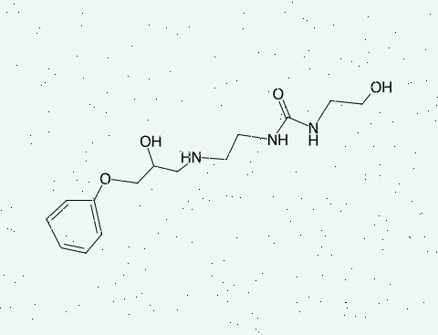 O=C(NCCO)NCCNCC(O)COc1ccccc1